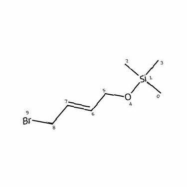 C[Si](C)(C)OCC=CCBr